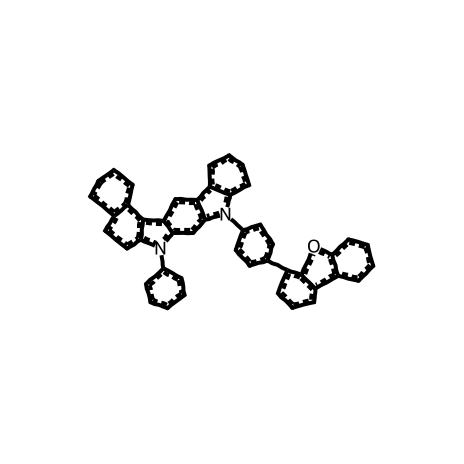 c1ccc(-n2c3cc4c(cc3c3c5ccccc5ccc32)c2ccccc2n4-c2ccc(-c3cccc4c3oc3ccccc34)cc2)cc1